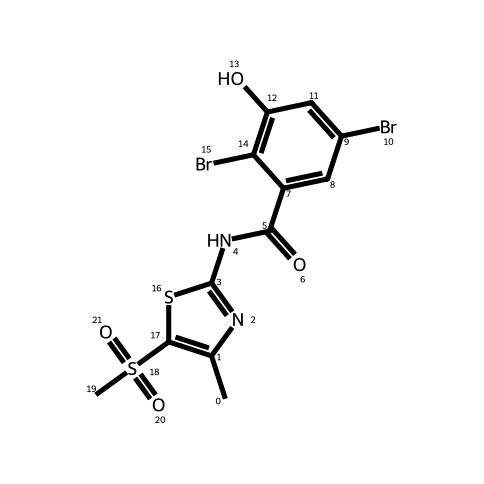 Cc1nc(NC(=O)c2cc(Br)cc(O)c2Br)sc1S(C)(=O)=O